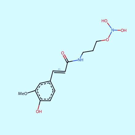 COc1cc(/C=C/C(=O)NCCCON(O)O)ccc1O